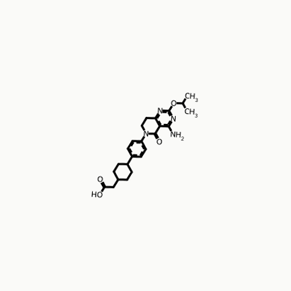 CC(C)Oc1nc(N)c2c(n1)CCN(c1ccc(C3CCC(CC(=O)O)CC3)cc1)C2=O